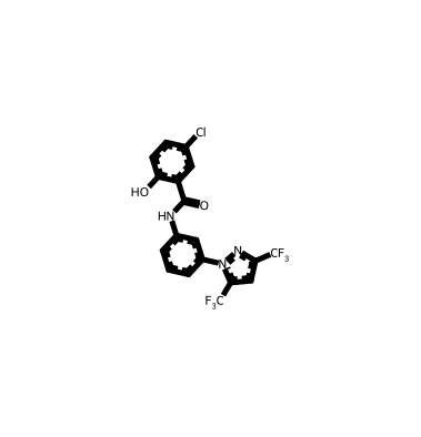 O=C(Nc1cccc(-n2nc(C(F)(F)F)cc2C(F)(F)F)c1)c1cc(Cl)ccc1O